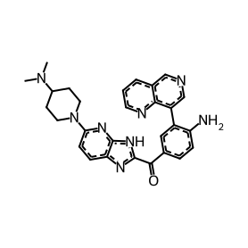 CN(C)C1CCN(c2ccc3nc(C(=O)c4ccc(N)c(-c5cncc6cccnc56)c4)[nH]c3n2)CC1